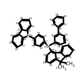 CC1(C)c2ccccc2-c2c(N(c3ccc(-n4c5ccccc5c5ccccc54)cc3)c3cccc(-c4ccccc4)c3)cccc21